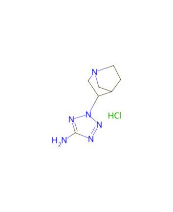 Cl.Nc1nnn(C2CN3CCC2C3)n1